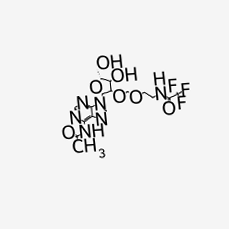 CC(=O)Nc1ncnc2c1ncn2[C@@H]1O[C@H](CO)[C@H](O)[C@H]1OCOCCNC(=O)C(F)(F)F